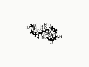 CCC(C)C(=N)CC(C)(CC)CC(C)(CC)C(=N)NCC(C)(C)CC(C)(C)NC(=O)[C@H](O)[C@@H](O)[C@@H](O)[C@H](O)C(=O)NC(C)(C)CC(C)(CC)CNC(C)(CC)CC